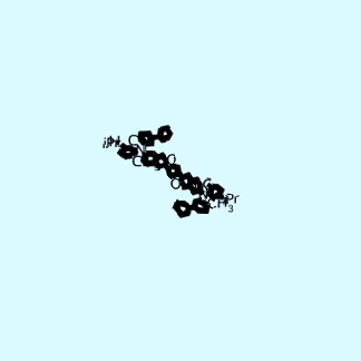 Cc1ccc(-c2ccccc2)cc1N(c1ccc2cc3c(cc2c1)oc1cc2c(cc13)oc1cc3cc(N(c4cc(-c5ccccc5)ccc4C)c4cc(C(C)C)ccc4C)ccc3cc12)c1cc(C(C)C)ccc1C